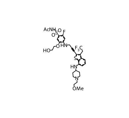 COCCN1CCC(Nc2cccc3c(CC(F)(F)F)c(C#CCNc4cc(F)c(S(=O)(=O)NC(C)=O)cc4OCCO)sc23)CC1